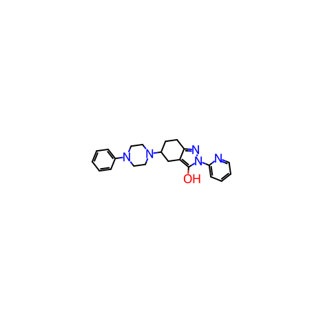 Oc1c2c(nn1-c1ccccn1)CCC(N1CCN(c3ccccc3)CC1)C2